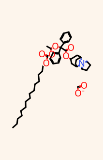 CCCCCCCCCCCCCCCOC(=O)OC(C)OC(C(=O)OC1CC2CCC(C1)[N+]21CCCC1)(c1ccccc1)c1ccccc1.O=C[O-]